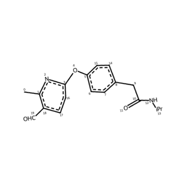 Cc1nc(Oc2ccc(CC(=O)NC(C)C)cc2)ccc1C=O